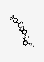 O=C(Nc1ccc2nn(CC(=O)N3CCS(=O)(=O)CC3)cc2c1)c1cccc(C(F)(F)F)n1